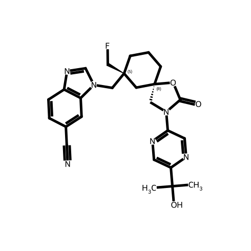 CC(C)(O)c1cnc(N2C[C@]3(CCC[C@@](CF)(Cn4cnc5ccc(C#N)cc54)C3)OC2=O)cn1